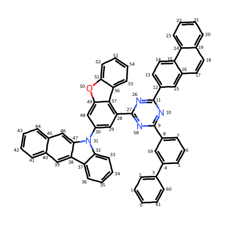 c1ccc(-c2cccc(-c3nc(-c4ccc5c(ccc6ccccc65)c4)nc(-c4cc(-n5c6ccccc6c6cc7ccccc7cc65)cc5oc6ccccc6c45)n3)c2)cc1